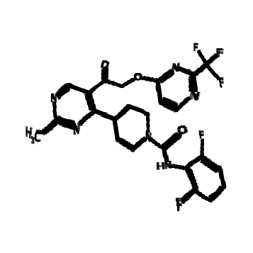 Cc1ncc(C(=O)COc2ccnc(C(F)(F)F)n2)c(C2CCN(C(=O)Nc3c(F)cccc3F)CC2)n1